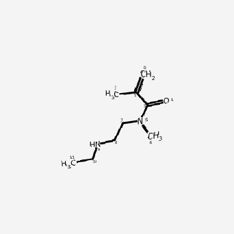 C=C(C)C(=O)N(C)CCNCC